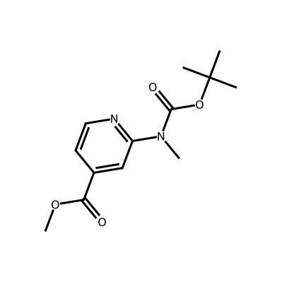 COC(=O)c1ccnc(N(C)C(=O)OC(C)(C)C)c1